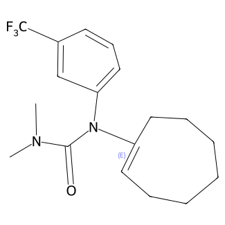 CN(C)C(=O)N(/C1=C/CCCCCC1)c1cccc(C(F)(F)F)c1